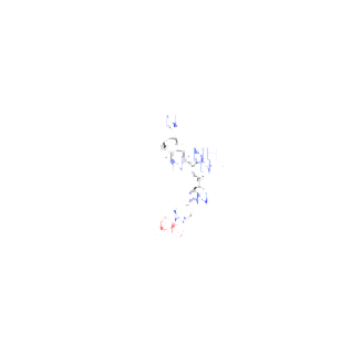 CC(C)(C)OC(=O)N1CCC(n2cc(-c3cnc(N)c(-c4cc5cc(C#N)ccc5cn4)c3)cn2)CC1